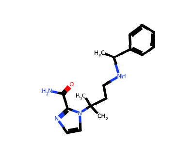 CC(NCCC(C)(C)n1c[c]nc1C(N)=O)c1ccccc1